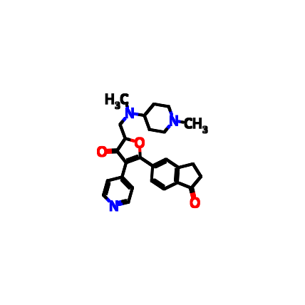 CN1CCC(N(C)CC2OC(c3ccc4c(c3)CCC4=O)=C(c3ccncc3)C2=O)CC1